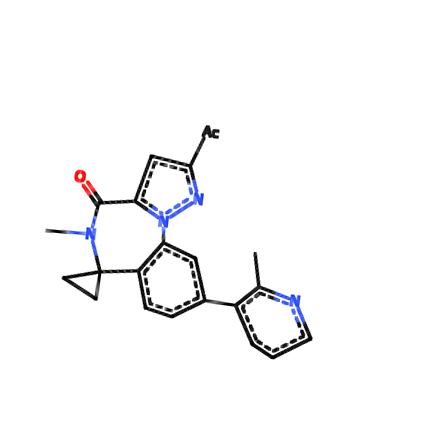 CC(=O)c1cc2n(n1)-c1cc(-c3cccnc3C)ccc1C1(CC1)N(C)C2=O